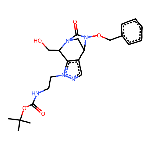 CC(C)(C)OC(=O)NCCn1ncc2c1C(CO)N1CC2N(OCc2ccccc2)C1=O